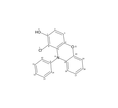 Oc1ccc2c(c1Cl)N(c1ccccc1)c1ccccc1O2